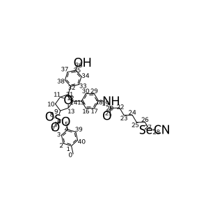 Cc1ccc(OS(=O)(=O)C2CC3OC2C(c2ccc(NC(=O)CCCCC[Se]C#N)cc2)=C3c2ccc(O)cc2)cc1